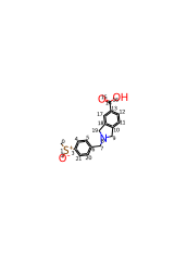 C[S+]([O-])c1ccc(CN2Cc3ccc(C(=O)O)cc3C2)cc1